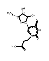 CC[C@H]1O[C@@H](c2cn(CCC(C)=O)c(=O)[nH]c2=O)C(O)[C@H]1O